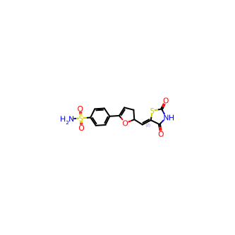 NS(=O)(=O)c1ccc(C2=CCC(/C=C3\SC(=O)NC3=O)O2)cc1